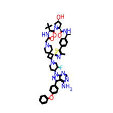 Cc1ncsc1-c1ccc([C@H](C)NC(=O)[C@@H]2C[C@@H](O)CN2C(=O)[C@@H](NC(=O)CN2CCC3(CC2)CC(N2CCC(n4nc(-c5ccc(Oc6ccccc6)cc5)c5c(N)ncnc54)C(F)C2)C3)C(C)(C)C)cc1